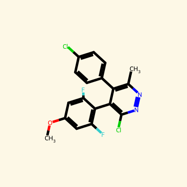 COc1cc(F)c(-c2c(Cl)nnc(C)c2-c2ccc(Cl)cc2)c(F)c1